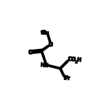 CC(C)C(NC(=O)OC(C)(C)C)C(=O)O